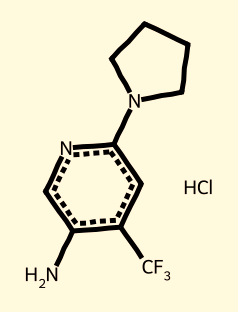 Cl.Nc1cnc(N2CCCC2)cc1C(F)(F)F